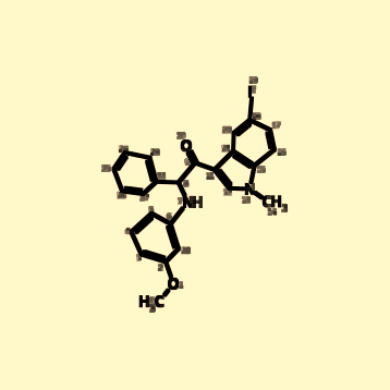 COc1cccc(NC(C(=O)c2cn(C)c3ccc(F)cc23)c2ccccc2)c1